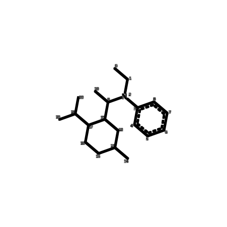 CCN(c1ccccc1)C(C)C1CC(C)CCC1C(C)C